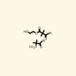 CC(C)C(=O)C(C)(C)C(=O)O.CC(C)C(=O)C(C)(C)C(=O)OCCO